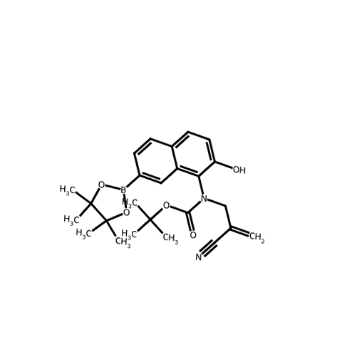 C=C(C#N)CN(C(=O)OC(C)(C)C)c1c(O)ccc2ccc(B3OC(C)(C)C(C)(C)O3)cc12